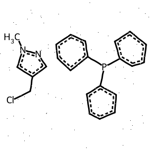 Cn1cc(CCl)cn1.c1ccc(P(c2ccccc2)c2ccccc2)cc1